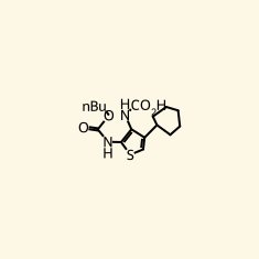 CCCCOC(=O)Nc1scc(C2CCCCC2)c1NC(=O)O